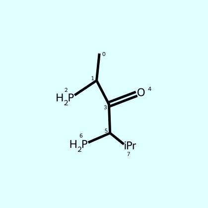 CC(P)C(=O)C(P)C(C)C